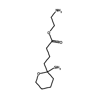 NCCOC(=O)CCCC1([SiH3])CCCCO1